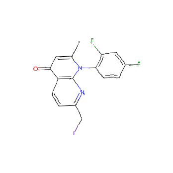 Cc1cc(=O)c2ccc(CI)nc2n1-c1ccc(F)cc1F